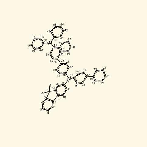 CC1(C)c2ccccc2-c2ccc(N(c3ccc(-c4ccccc4)cc3)c3ccc(-c4ccc(N(c5ccccc5)c5ccccc5)c5ccccc45)cc3)cc21